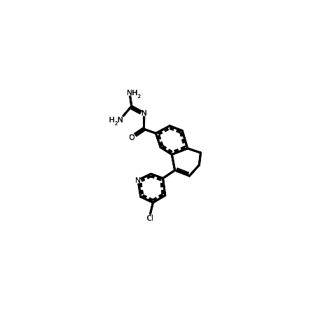 NC(N)=NC(=O)c1ccc2c(c1)C(c1cncc(Cl)c1)=CCC2